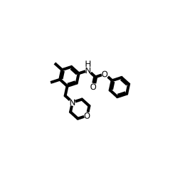 Cc1cc(NC(=O)Oc2ccccc2)cc(CN2CCOCC2)c1C